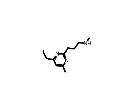 CNCCCc1nc(C)cc(CI)n1